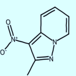 Cc1nn2ccccc2c1[N+](=O)[O-]